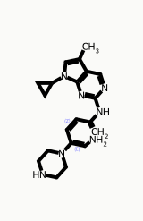 C=C(/C=C\C(=C/N)N1CCNCC1)Nc1ncc2c(C)cn(C3CC3)c2n1